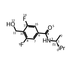 CC(C)[C@H](C)NC(=O)c1cc(F)c(CO)c(F)c1